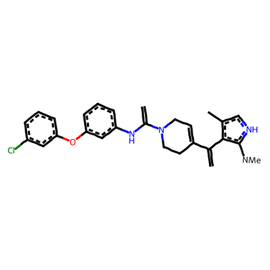 C=C(C1=CCN(C(=C)Nc2cccc(Oc3cccc(Cl)c3)c2)CC1)c1c(C)c[nH]c1NC